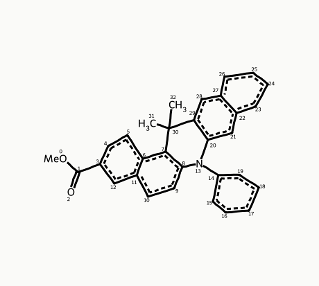 COC(=O)c1ccc2c3c(ccc2c1)N(c1ccccc1)c1cc2ccccc2cc1C3(C)C